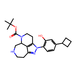 CC(C)(C)OC(=O)N1CCc2c3c(nn2-c2ccc(C4CCC4)cc2O)CCNCC31